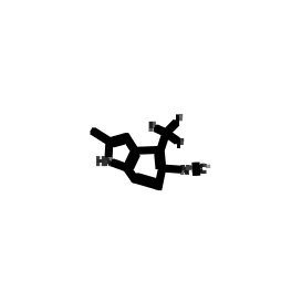 [C-]#[N+]c1ccc2[nH]c(C)cc2c1C(F)(F)F